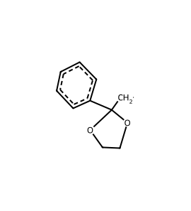 [CH2]C1(c2ccccc2)OCCO1